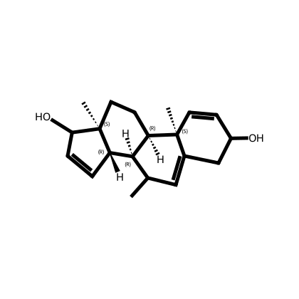 CC1C=C2CC(O)C=C[C@]2(C)[C@@H]2CC[C@]3(C)C(O)C=C[C@H]3[C@H]12